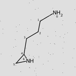 NCCCC1CN1